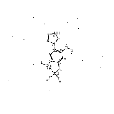 COc1cc([C@H]2CCNC2)c(OC)cc1CC(F)(F)F